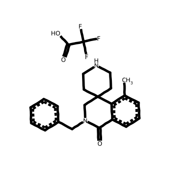 Cc1cccc2c1C1(CCNCC1)CN(Cc1ccccc1)C2=O.O=C(O)C(F)(F)F